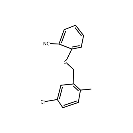 N#Cc1ccccc1SCc1cc(Cl)ccc1I